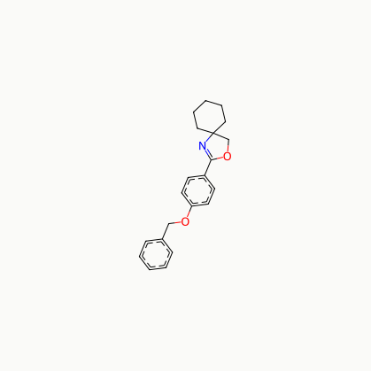 c1ccc(COc2ccc(C3=NC4(CCCCC4)CO3)cc2)cc1